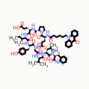 CC[C@H](C)[C@H](NC(=O)[C@H](CCC(=O)O)NC(=O)[C@@H]1CCCN1C(=O)[C@H](CCC(=O)O)NC(=O)CCCCCn1c2ccccc2c(=O)c2ccccc21)C(=O)N[C@@H](Cc1ccc(O)cc1)C(=O)NCC(=O)N[C@H](C(=O)N[C@@H](CC(C)C)C(=O)N[C@@H](Cc1ccccc1)C(N)=O)C(C)C